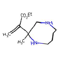 C=C(C(=O)OCC)C1(C)CNCCN1